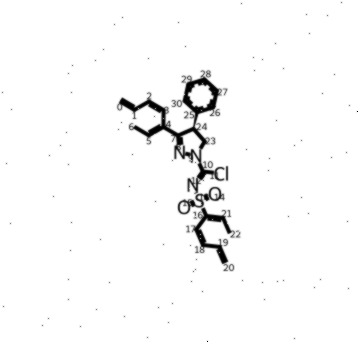 C=C/C=C\C(=C/C)C1=NN(/C(Cl)=N/S(=O)(=O)C(/C=C\C=C)=C/C)C[C@@H]1c1ccccc1